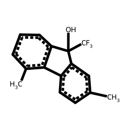 Cc1ccc2c(c1)C(O)(C(F)(F)F)c1cccc(C)c1-2